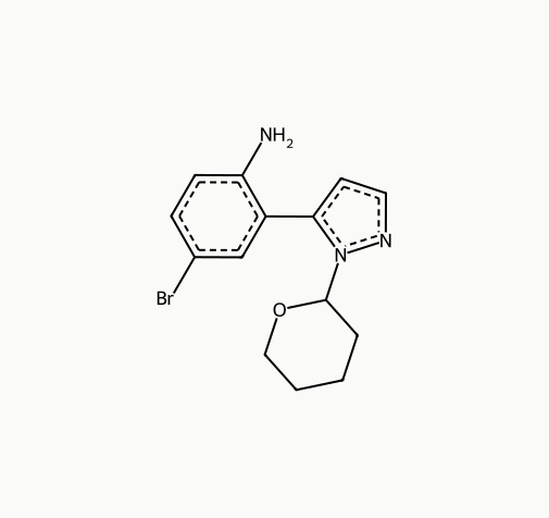 Nc1ccc(Br)cc1-c1ccnn1C1CCCCO1